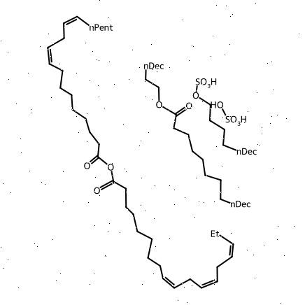 CC/C=C\C/C=C\C/C=C\CCCCCCCC(=O)OC(=O)CCCCCCC/C=C\C/C=C\CCCCC.CCCCCCCCCCCCCCCCCC(=O)OCCCCCCCCCCCC.CCCCCCCCCCCCCCOS(=O)(=O)O.O=S(=O)(O)O